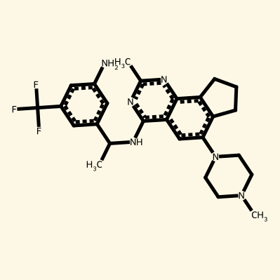 Cc1nc(NC(C)c2cc(N)cc(C(F)(F)F)c2)c2cc(N3CCN(C)CC3)c3c(c2n1)CCC3